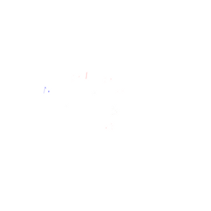 CCCNCC1=C(O)C(=O)C(S(=O)(=O)c2ccc(C)cc2)C=C1